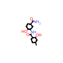 Cc1ccc(C(=O)Nc2cc(C(N)=O)ccc2O)c(O)c1